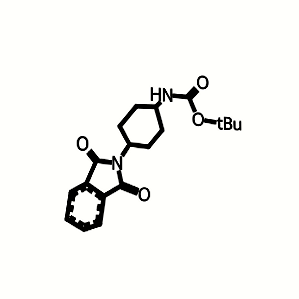 CC(C)(C)OC(=O)NC1CCC(N2C(=O)c3ccccc3C2=O)CC1